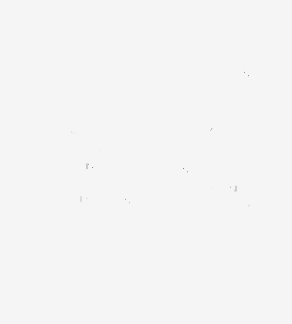 CC(C)C(NC(=O)c1ccc2ccccc2n1)C(=O)NC(Cc1ccccc1)C(O)CN1CC[C@@H](SCc2cccnc2)CC1C(=O)NC(C)(C)C